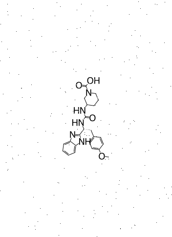 COc1ccc(C[C@@H](NC(=O)NC2CCCN(C(=O)O)C2)c2nc3ccccc3[nH]2)cc1